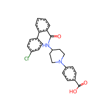 O=C(O)c1ccc(N2CCC(NC(=O)c3ccccc3-c3ccc(Cl)cc3)CC2)cc1